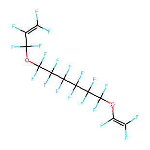 FC(F)=C(F)OC(F)(F)C(F)(F)C(F)(F)C(F)(F)C(F)(F)C(F)(F)OC(F)(F)C(F)=C(F)F